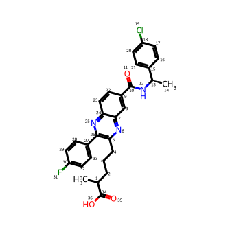 CC(CCCc1nc2cc(C(=O)N[C@H](C)c3ccc(Cl)cc3)ccc2nc1-c1ccc(F)cc1)C(=O)O